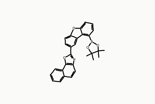 CC1(C)OB(c2cccc3oc4ccc(-c5nc6ccc7ccccc7c6o5)cc4c23)OC1(C)C